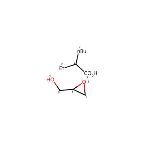 CCCCC(CC)C(=O)O.OCC1CO1